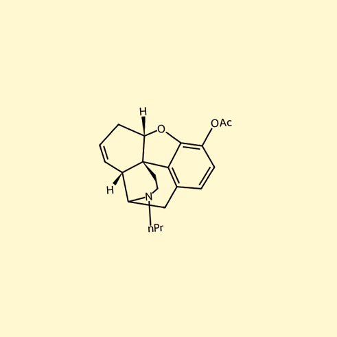 CCCN1CC[C@]23c4c5ccc(OC(C)=O)c4O[C@H]2CC=C[C@H]3C1C5